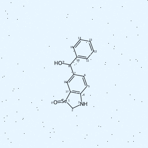 O=[Se]1CNc2ccc(C(O)c3ccccc3)cc21